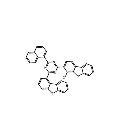 Clc1c(-c2nc(-c3cccc4ccccc34)nc(-c3cccc4sc5ccccc5c34)n2)ccc2c1sc1ccccc12